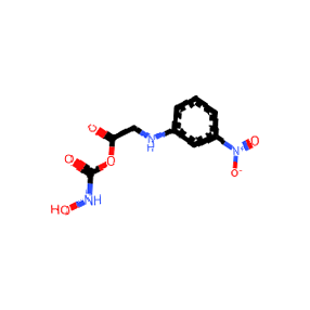 O=C(CNc1cccc([N+](=O)[O-])c1)OC(=O)NO